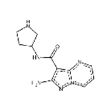 Nc1nn2cccnc2c1C(=O)NC1CCNC1